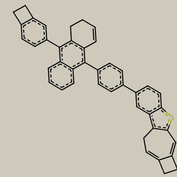 C1=Cc2c(c(-c3ccc4c(c3)CC4)c3ccccc3c2-c2ccc(-c3ccc4sc5c(c4c3)CC=C3CCC3=C5)cc2)CC1